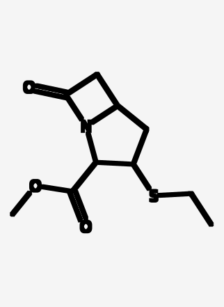 CCSC1CC2CC(=O)N2C1C(=O)OC